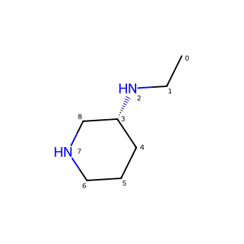 CCN[C@@H]1CCCNC1